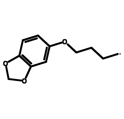 [CH2]CCCOc1ccc2c(c1)OCO2